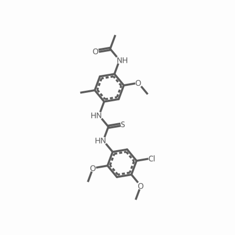 COc1cc(OC)c(NC(=S)Nc2cc(OC)c(NC(C)=O)cc2C)cc1Cl